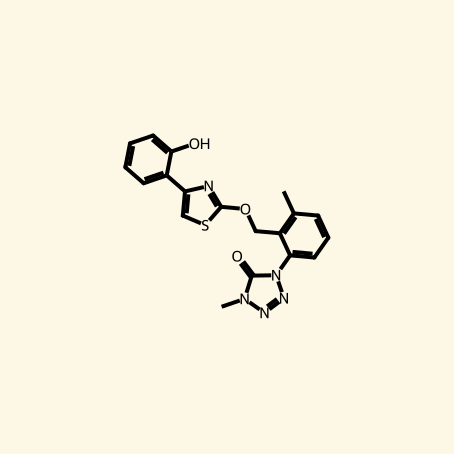 Cc1cccc(-n2nnn(C)c2=O)c1COc1nc(-c2ccccc2O)cs1